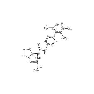 Cc1c(-c2ccc(NC(=O)[C@@H](NC(=O)OC(C)(C)C)C3CCCC3)cc2)c(C(F)(F)F)cc[n+]1[O-]